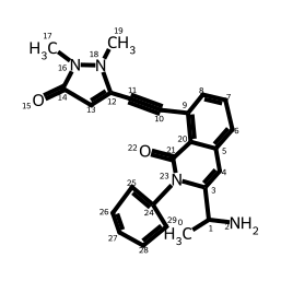 CC(N)c1cc2cccc(C#Cc3cc(=O)n(C)n3C)c2c(=O)n1-c1ccccc1